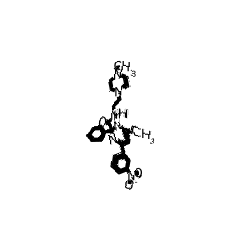 CC1=CC(c2cccc([N+](=O)[O-])c2)=NC(C(=O)NCCN2CCN(C)CC2)(c2ccccc2)N1